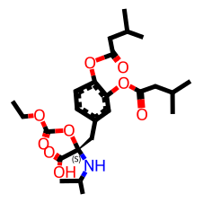 CCOC(=O)O[C@](Cc1ccc(OC(=O)CC(C)C)c(OC(=O)CC(C)C)c1)(NC(C)C)C(=O)O